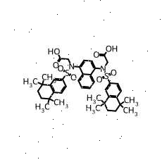 CC1(C)CCC(C)(C)c2cc(S(=O)(=O)N(CC(=O)O)c3ccc(N(CC(=O)O)S(=O)(=O)c4ccc5c(c4)C(C)(C)CCC5(C)C)c4ccccc34)ccc21